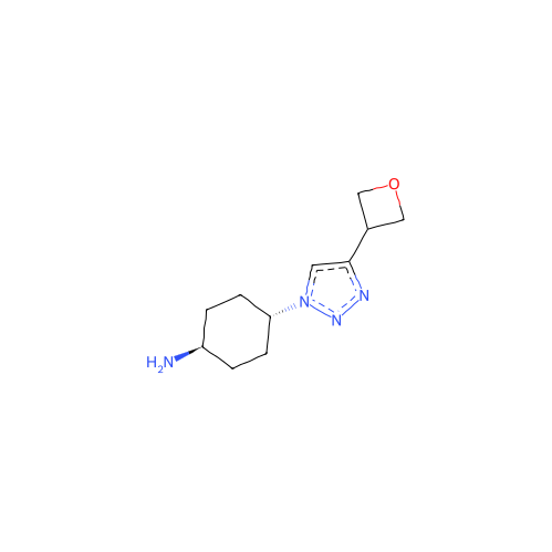 N[C@H]1CC[C@H](n2cc(C3COC3)nn2)CC1